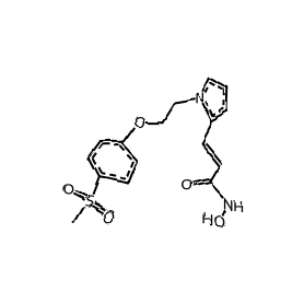 CS(=O)(=O)c1ccc(OCCn2cccc2C=CC(=O)NO)cc1